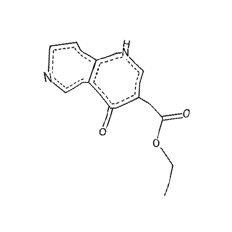 CCOC(=O)c1c[nH]c2ccncc2c1=O